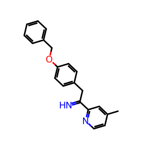 Cc1ccnc(C(=N)Cc2ccc(OCc3ccccc3)cc2)c1